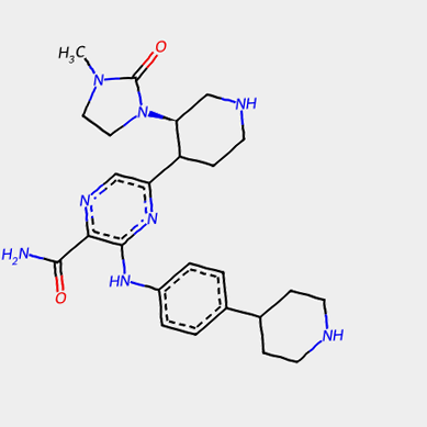 CN1CCN([C@H]2CNCCC2c2cnc(C(N)=O)c(Nc3ccc(C4CCNCC4)cc3)n2)C1=O